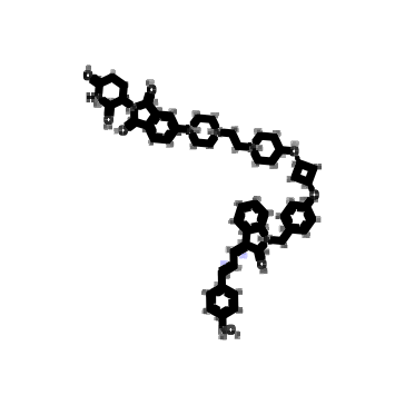 O=C1CCC(N2C(=O)c3ccc(N4CCN(CCN5CCC(O[C@H]6C[C@H](Oc7ccc(CN8C(=O)/C(=C\C=C\c9ccc([N+](=O)[O-])cc9)c9ccccc98)cc7)C6)CC5)CC4)cc3C2=O)C(=O)N1